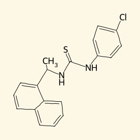 CC(NC(=S)Nc1ccc(Cl)cc1)c1cccc2ccccc12